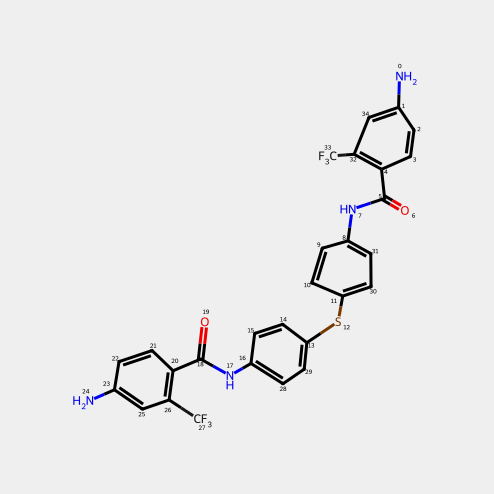 Nc1ccc(C(=O)Nc2ccc(Sc3ccc(NC(=O)c4ccc(N)cc4C(F)(F)F)cc3)cc2)c(C(F)(F)F)c1